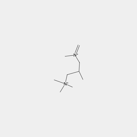 C=[N+](C)CC(C)C[N+](C)(C)C